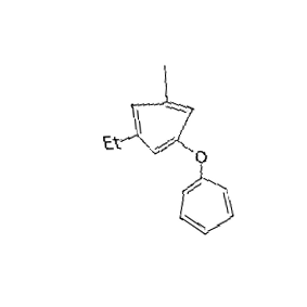 CCc1cc(C)cc(Oc2ccccc2)c1